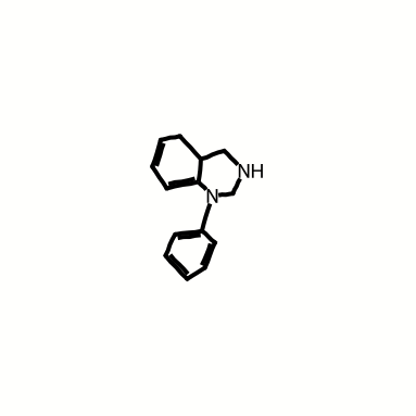 C1=CCC2CNCN(c3ccccc3)C2=C1